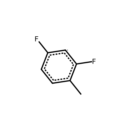 Cc1ccc(F)[c]c1F